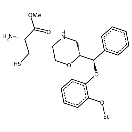 CCOc1ccccc1O[C@H](c1ccccc1)[C@H]1CNCCO1.COC(=O)[C@@H](N)CS